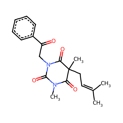 CC(C)=CCC1(C)C(=O)N(C)C(=O)N(CC(=O)c2ccccc2)C1=O